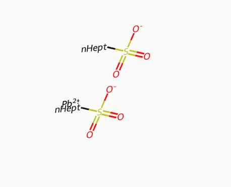 CCCCCCCS(=O)(=O)[O-].CCCCCCCS(=O)(=O)[O-].[Pb+2]